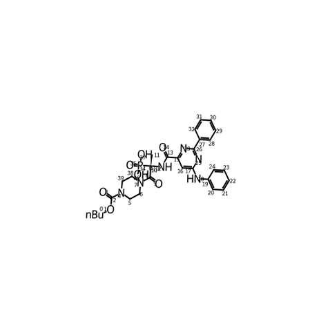 CCCCOC(=O)N1CCN(C(=O)[C@@](C)(NC(=O)c2cc(Nc3ccccc3)nc(-c3ccccc3)n2)P(=O)(O)O)CC1